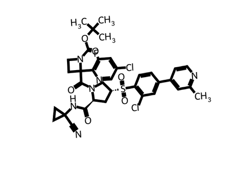 Cc1cc(-c2ccc(S(=O)(=O)[C@@H]3C[C@@H](C(=O)NC4(C#N)CC4)N(C(=O)C4(c5ncc(Cl)cc5F)CCN4C(=O)OC(C)(C)C)C3)c(Cl)c2)ccn1